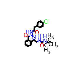 CC(C)(C)NC(=O)NCc1nn(NC(=O)Cc2ccc(Cl)cc2)c(=O)c2ccccc12